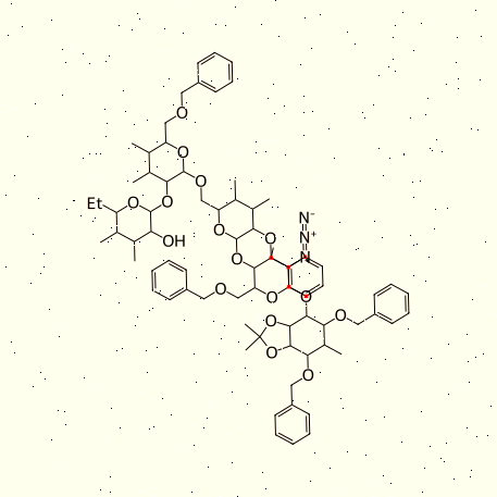 CCC1OC(OC2C(OCC3OC(OC4C(COCc5ccccc5)OC(OC5C(OCc6ccccc6)C(C)C(OCc6ccccc6)C6OC(C)(C)OC56)C(N=[N+]=[N-])C4C)C(OCc4ccccc4)C(C)C3C)OC(COCc3ccccc3)C(C)C2C)C(O)C(C)C1C